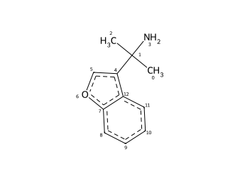 CC(C)(N)c1coc2ccccc12